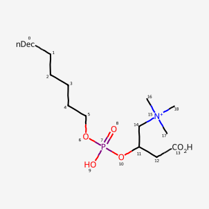 CCCCCCCCCCCCCCCOP(=O)(O)OC(CC(=O)O)C[N+](C)(C)C